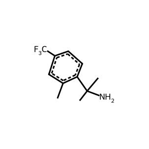 Cc1cc(C(F)(F)F)ccc1C(C)(C)N